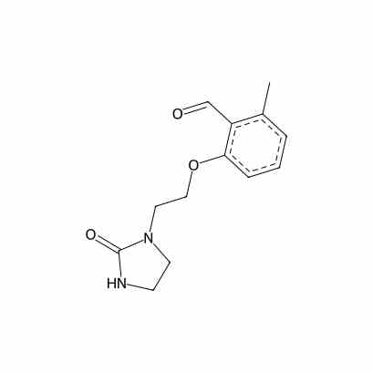 Cc1cccc(OCCN2CCNC2=O)c1C=O